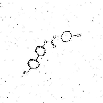 CCCc1ccc(-c2ccc(OC(=O)O[C@H]3CC[C@H](C#N)CC3)cc2)cc1